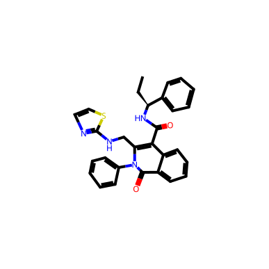 CC[C@H](NC(=O)c1c(CNc2nccs2)n(-c2ccccc2)c(=O)c2ccccc12)c1ccccc1